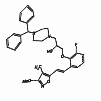 COc1noc(C=Cc2cccc(F)c2OCC(O)CN2CCN(C(c3ccccc3)c3ccccc3)CC2)c1C